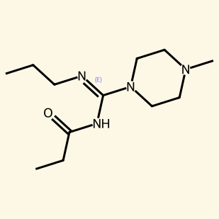 CCC/N=C(\NC(=O)CC)N1CCN(C)CC1